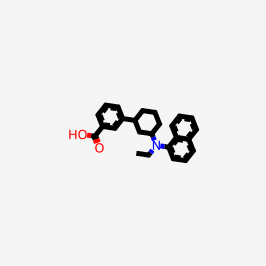 CCN(c1cccc2ccccc12)C1CCCC(c2cccc(C(=O)O)c2)C1